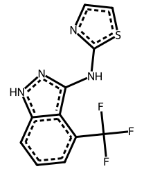 FC(F)(F)c1cccc2[nH]nc(Nc3nccs3)c12